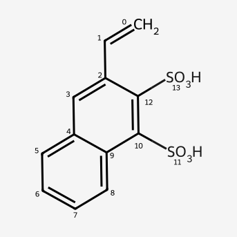 C=Cc1cc2ccccc2c(S(=O)(=O)O)c1S(=O)(=O)O